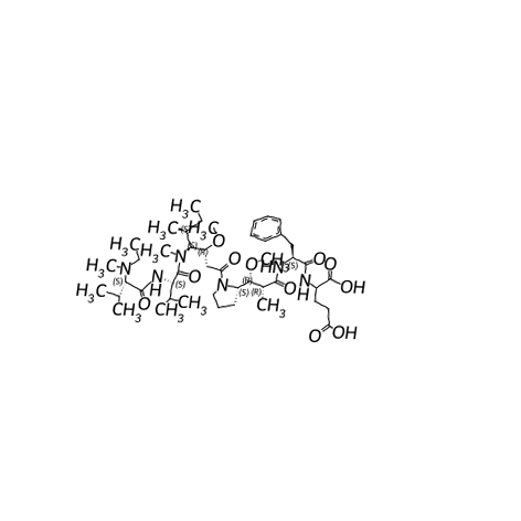 CC[C@H](C)[C@@H]([C@@H](CC(=O)N1CCC[C@H]1[C@H](OC)[C@@H](C)C(=O)N[C@@H](Cc1ccccc1)C(=O)NC(CCC(=O)O)C(=O)O)OC)N(C)C(=O)[C@@H](NC(=O)[C@H](C(C)C)N(C)CC)C(C)C